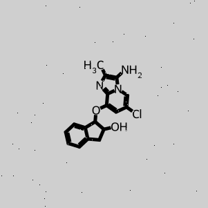 Cc1nc2c(OC3c4ccccc4CC3O)cc(Cl)cn2c1N